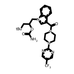 CC(C)(C)CC(Cn1cc(C(=O)N2CCN(c3ncc(C(F)(F)F)cn3)CC2)c2ccccc21)OC(N)=O